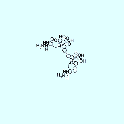 N=C(N)Nc1ccc2c(c1)CCCOc1c(cccc1C(=O)N(Cc1cccc(-c3cccc(CN(C(=O)c4cccc5c4OCCCc4cc(NC(=N)N)ccc4C(=O)O5)C(CC(=O)O)C(=O)O)c3)c1)C(CC(=O)O)C(=O)O)OC2=O